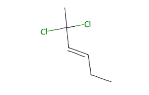 CCC=CC(C)(Cl)Cl